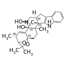 C[C@@H]1C=C2[C@@]3(CCC4(C)[C@@]5(C)c6[nH]c7ccccc7c6C[C@@H]5C[C@H](O)[C@@]24O)OC1C(C)(C)O3